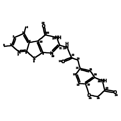 Cc1cc(C)c2c(n1)sc1nc(NC(=O)Cc3ccc4c(c3)NC(=O)CO4)[nH]c(=O)c12